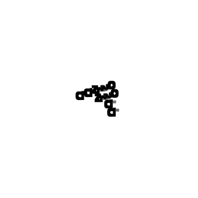 [Cl-].[Cl-].[Cl-].[Cl-].[O]=[Zr+2].[O]=[Zr+2]